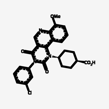 COc1cccc2c1ncc1c(=O)n(-c3cccc(Cl)c3)c(=O)n([C@H]3CC[C@H](C(=O)O)CC3)c12